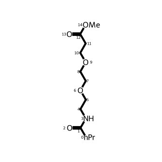 CCCC(=O)NCCOCCOCCC(=O)OC